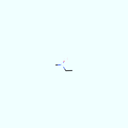 CC[N+](C)O